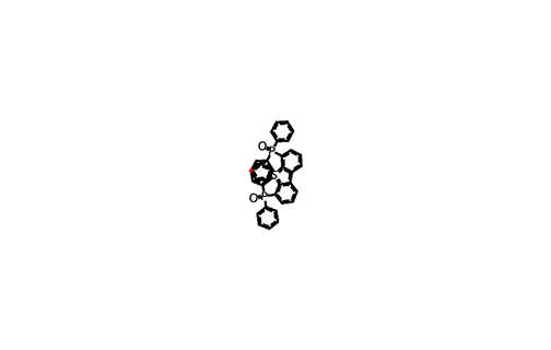 O=P(c1ccccc1)(c1ccccc1)c1cccc2c1sc1c(P(=O)(c3ccccc3)c3ccccc3)cccc12